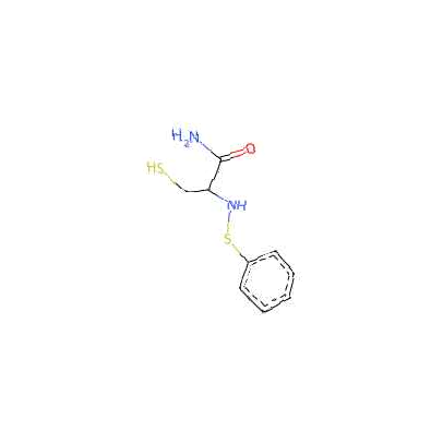 NC(=O)C(CS)NSc1ccccc1